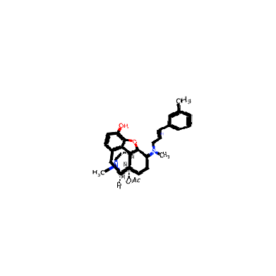 CC(=O)O[C@@]12CCC(N(C)C/C=C/c3cccc(C)c3)C3Oc4c(O)ccc5c4[C@@]31CCN(C)[C@@H]2C5